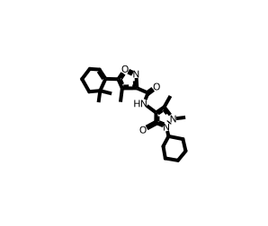 Cc1c(C(=O)Nc2c(C)n(C)n(C3CCCCC3)c2=O)noc1C1=CCCCC1(C)C